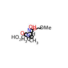 COCCCOc1cc2c(nc1O)-c1cc(=O)c(C(=O)O)cn1[C@H]1[C@@H]2CCC1(C)C